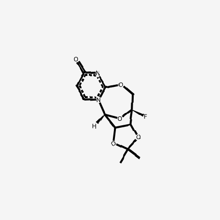 CC1(C)OC2C(O1)[C@@]1(F)COc3nc(=O)ccn3[C@@H]2O1